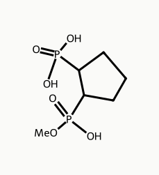 COP(=O)(O)C1CCCC1P(=O)(O)O